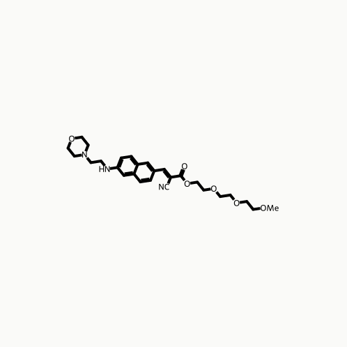 COCCOCCOCCOC(=O)/C(C#N)=C/c1ccc2cc(NCCN3CCOCC3)ccc2c1